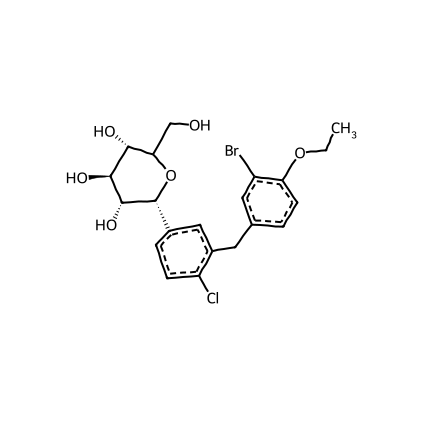 CCOc1ccc(Cc2cc([C@H]3OC(CO)[C@@H](O)[C@H](O)[C@H]3O)ccc2Cl)cc1Br